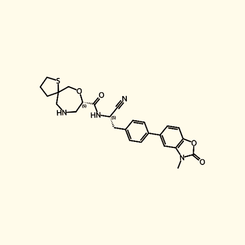 Cn1c(=O)oc2ccc(-c3ccc(C[C@@H](C#N)NC(=O)[C@@H]4CNCC5(CCCS5)CO4)cc3)cc21